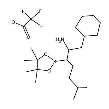 CC(C)CCC(B1OC(C)(C)C(C)(C)O1)C(N)CC1CCCCC1.O=C(O)C(F)(F)F